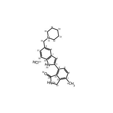 Cc1ccc(-c2cc3cc(CN4CCCCC4)ccc3[nH]2)c2c1CNC2=O.Cl